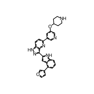 c1cc(-c2ccoc2)c2cc(-c3n[nH]c4ccc(-c5cncc(OC6CCNCC6)c5)nc34)[nH]c2c1